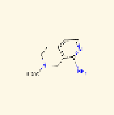 CCCC(C)N1CCc2ccnc(N)c2C1